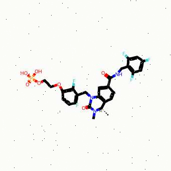 C[C@H]1c2ccc(C(=O)NCc3c(F)cc(F)cc3F)cc2N(Cc2c(F)ccc(OCCOP(=O)(O)O)c2F)C(=O)N1C